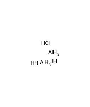 Cl.[AlH3].[AlH3].[HH].[LiH]